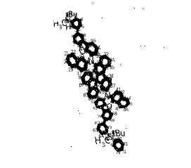 C[SiH](c1cccc(-c2ccc3oc4c(N(c5ccc6ccccc6c5)c5cc6c(c7ccccc57)-c5ccc(N(c7ccc8ccccc8c7)c7cccc8c7oc7ccc(-c9cccc([Si](C)(c%10ccccc%10)C(C)(C)C)c9)cc78)cc5C65c6ccccc6-c6ccccc65)cccc4c3c2)c1)C(C)(C)C